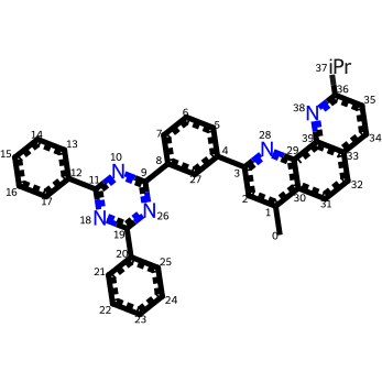 Cc1cc(-c2cccc(-c3nc(-c4ccccc4)nc(-c4ccccc4)n3)c2)nc2c1ccc1ccc(C(C)C)nc12